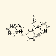 COCN1c2cc(Cn3cnc4ncncc43)ccc2Sc2nccnc21